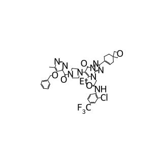 CCc1c(N2CCN(C(=O)c3ncnc(C)c3OCc3ccccc3)CC2)c(=O)n2nc(C3=CCC4(CC3)COC4)nc2n1CC(=O)Nc1ccc(C(F)(F)F)cc1Cl